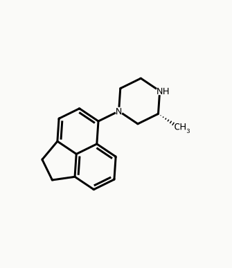 C[C@@H]1CN(c2ccc3c4c(cccc24)CC3)CCN1